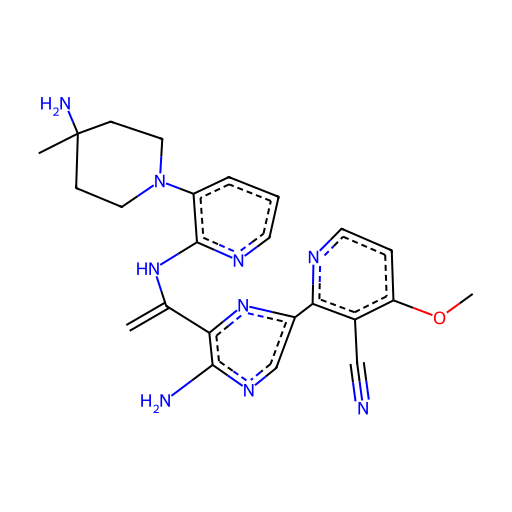 C=C(Nc1ncccc1N1CCC(C)(N)CC1)c1nc(-c2nccc(OC)c2C#N)cnc1N